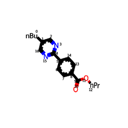 CCCCc1cnc(-c2ccc(C(=O)OCCC)cc2)nc1